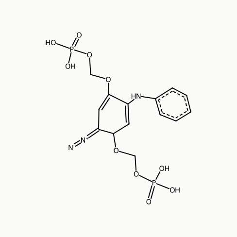 [N-]=[N+]=C1C=C(OCOP(=O)(O)O)C(Nc2ccccc2)=CC1OCOP(=O)(O)O